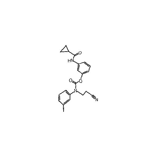 Cc1cccc(N(CCC#N)C(=O)Oc2cccc(NC(=O)C3CC3)c2)c1